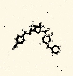 C[C@@H]1CN(C(=O)N2Cc3c(NC(=O)c4ccc(C#N)cc4)n[nH]c3C2(C)C)[C@@H](C)CN1CC1CCOCC1